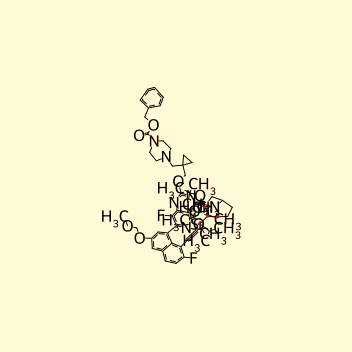 COCOc1cc(-c2nc(OC)c3c(N4CC5CCC(C4)N5C(=O)OC(C)(C)C)nc(OCC4(CN5CCN(C(=O)OCc6ccccc6)CC5)CC4)nc3c2F)c2c(C#C[Si](C(C)C)(C(C)C)C(C)C)c(F)ccc2c1